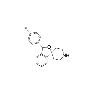 Fc1ccc(C2OC3(CCNCC3)c3ccccc32)cc1